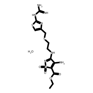 CCOC(=O)C1=C(N)C(NCCSCc2csc(NC(=N)N)n2)=NS1(=O)=O.O